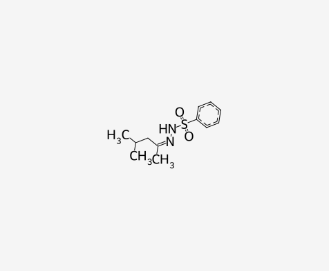 CC(CC(C)C)=NNS(=O)(=O)c1ccccc1